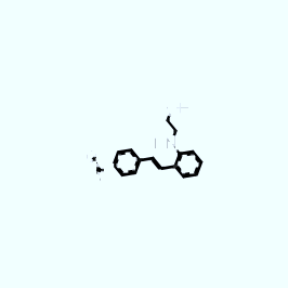 O=[N+]([O-])c1ccc(/C=C/c2ccccc2NCCO)cc1